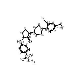 CS(=O)(=O)c1ccc(N[C@H]2CCN(C3CCN(c4ncc(CF)cc4I)CC3)C2=O)cn1